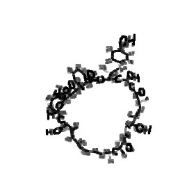 C/C1=C\[C@@H](C)C(=O)CC(O)C[C@@H]([C@H](C)C[C@H]2CC[C@H](O)CC2)OC(=O)[C@@H]2CCCCN2C(=O)C(=O)[C@]2(O)O[C@@H](CC[C@H]2C)C[C@H](O)/C(C)=C/C=C/C=C/[C@@H](C)C[C@H](C)C(=O)C[C@@H]1O